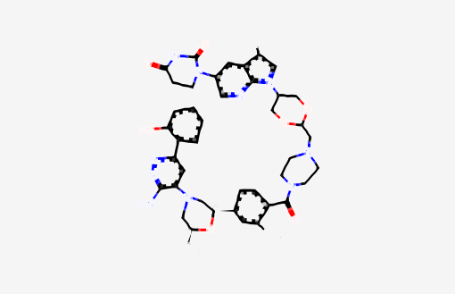 Cc1cc([C@@H]2CN(c3cc(-c4ccccc4O)nnc3N)C[C@H](C)O2)ccc1C(=O)N1CCN(CC2OCC(n3cc(C)c4cc(N5CCC(=O)NC5=O)cnc43)CO2)CC1